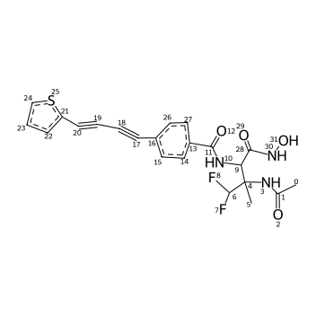 CC(=O)NC(C)(C(F)F)C(NC(=O)c1ccc(C#CC#Cc2cccs2)cc1)C(=O)NO